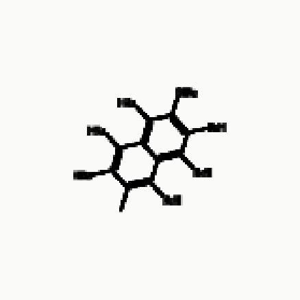 COc1[c]([RaH])[c]([RaH])c2[c]([RaH])c(C)[c]([RaH])[c]([RaH])c2[c]1[RaH]